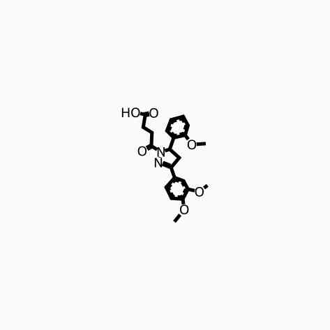 COc1ccc(C2=NN(C(=O)CCC(=O)O)C(c3ccccc3OC)C2)cc1OC